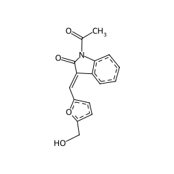 CC(=O)N1C(=O)/C(=C/c2ccc(CO)o2)c2ccccc21